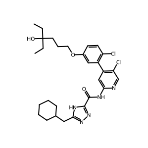 CCC(O)(CC)CCCOc1ccc(Cl)c(-c2cc(NC(=O)c3nnc(CC4CCCCC4)[nH]3)ncc2Cl)c1